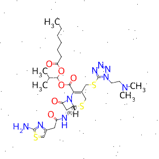 CCCCCCC(=O)OC(OC(=O)C1=C(CSc2nnnn2CCN(C)C)CS[C@@H]2[C@H](NC(=O)Cc3csc(N)n3)C(=O)N12)C(C)C